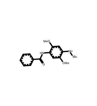 COc1cc(NC(C)(C)C)c(OC)cc1NC(=O)c1ccccc1